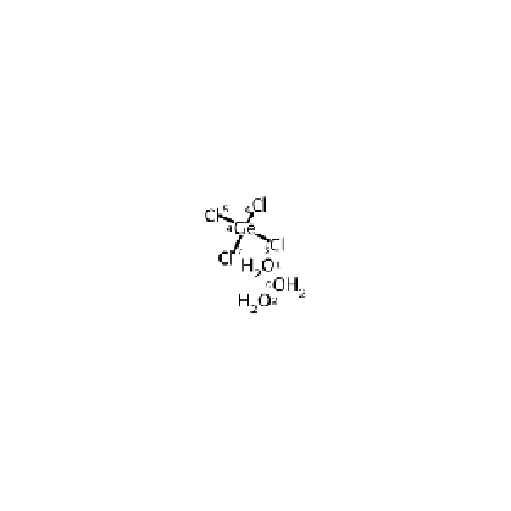 O.O.O.[Cl][Ge]([Cl])([Cl])[Cl]